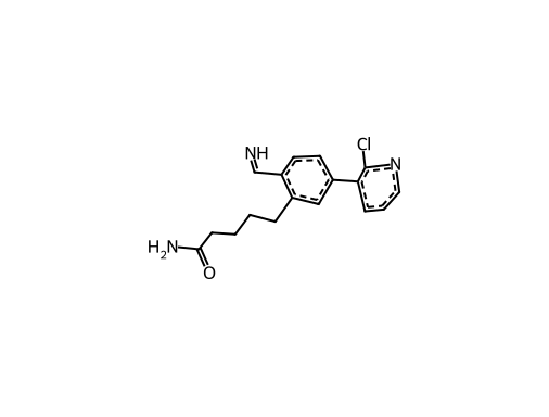 N=Cc1ccc(-c2cccnc2Cl)cc1CCCCC(N)=O